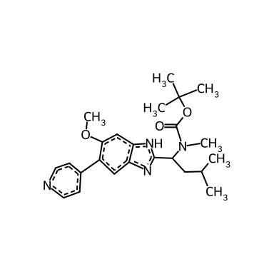 COc1cc2[nH]c(C(CC(C)C)N(C)C(=O)OC(C)(C)C)nc2cc1-c1ccncc1